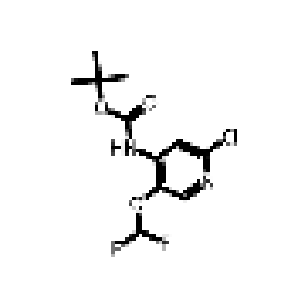 CC(C)(C)OC(=O)Nc1cc(Cl)ncc1OC(F)F